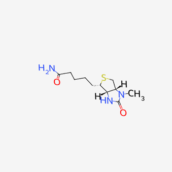 CN1C(=O)N[C@@H]2[C@H](CCCCC(N)=O)SC[C@@H]21